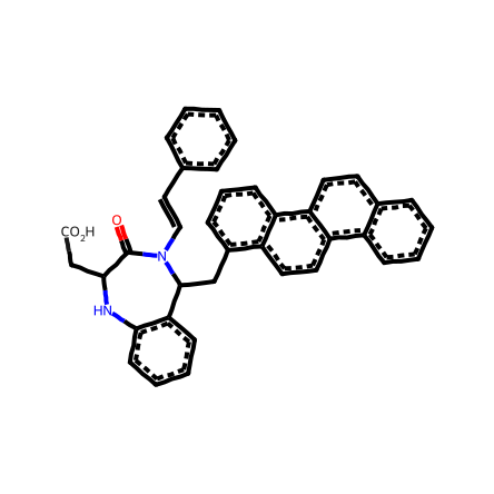 O=C(O)CC1Nc2ccccc2C(Cc2cccc3c2ccc2c4ccccc4ccc32)N(C=Cc2ccccc2)C1=O